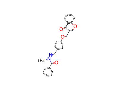 CC(C)(C)N(N=Cc1ccc(OCc2coc3ccccc3c2=O)cc1)C(=O)c1ccccc1